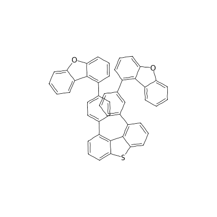 c1cc(-c2cccc3oc4ccccc4c23)cc(-c2cccc3sc4cccc(-c5ccc(-c6cccc7oc8ccccc8c67)cc5)c4c23)c1